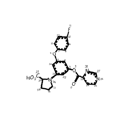 O=C(Oc1cc(Oc2ccc(F)cc2)cc(N2CCCC2C(=O)O)c1)c1ccncn1